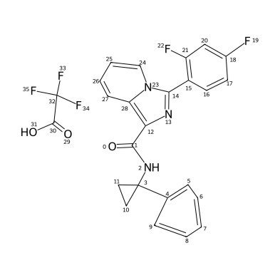 O=C(NC1(c2ccccc2)CC1)c1nc(-c2ccc(F)cc2F)n2ccccc12.O=C(O)C(F)(F)F